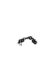 O=C1CCc2cc(OCCCCN3CCC(Cc4ccc5ccccc5n4)CC3)ccc2N1